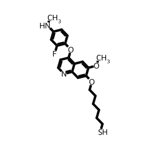 CNc1ccc(Oc2ccnc3cc(OCCCCCCS)c(OC)cc23)c(F)c1